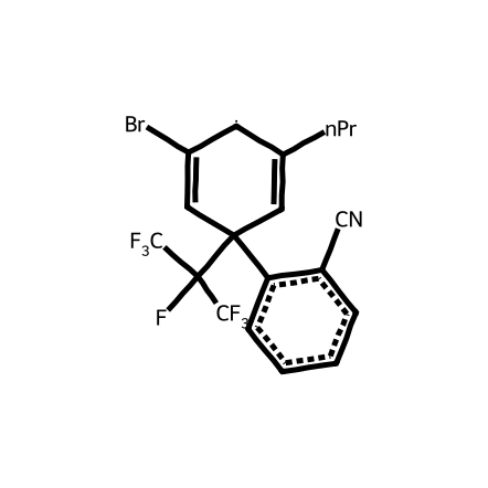 CCCC1=CC(c2ccccc2C#N)(C(F)(C(F)(F)F)C(F)(F)F)C=C(Br)[CH]1